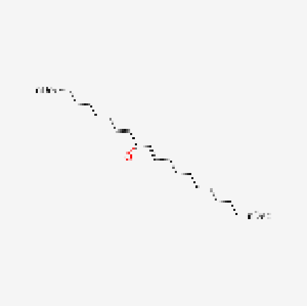 CCCCCCCCCCCCCCCC=CC(=O)C=CCCCCCCCCCCCCCCCCCC